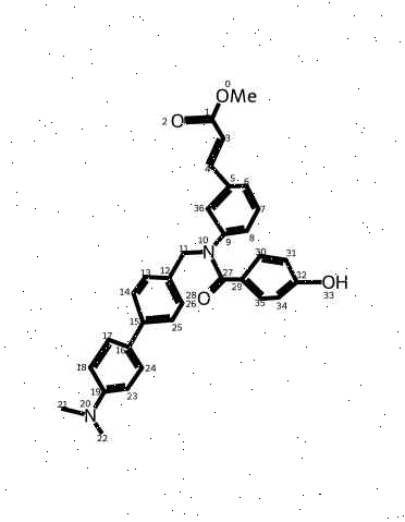 COC(=O)/C=C/c1cccc(N(Cc2ccc(-c3ccc(N(C)C)cc3)cc2)C(=O)c2ccc(O)cc2)c1